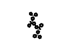 Cc1c(-c2ccccc2)c2cc(-c3ccc4c(c3)c(-c3ccccc3)c(C)n4-c3ccc(N(c4ccccc4)c4ccccc4)cc3)ccc2n1-c1ccc(N(c2ccccc2)c2ccccc2)cc1